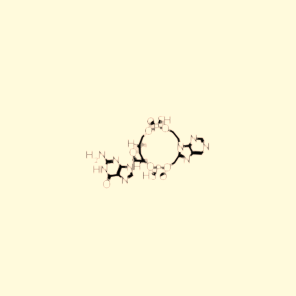 Nc1nc2c(ncn2[C@@H]2O[C@H]3COP(=O)(S)OCCn4c(nc5cncnc54)COP(=O)(S)O[C@@H]2C3)c(=O)[nH]1